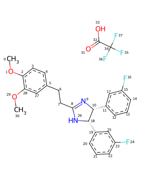 COc1ccc(CCC2=N[C@H](c3cccc(F)c3)[C@H](c3cccc(F)c3)N2)cc1OC.O=C(O)C(F)(F)F